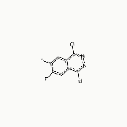 Fc1cc2c(Cl)nnc(Cl)c2cc1F